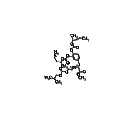 CCCC(C)OC(=O)Oc1ccc(C[C@H](NCCOC(=O)OCC(C)C)C(=O)OC)cc1OC(=O)OC(C)CCC